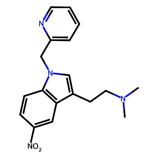 CN(C)CCc1cn(Cc2ccccn2)c2ccc([N+](=O)[O-])cc12